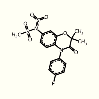 CC1(C)Oc2cc(N([SH](=O)=O)S(C)(=O)=O)ccc2N(c2ccc(F)cc2)C1=O